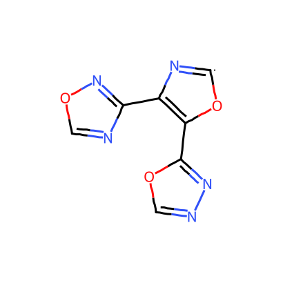 [c]1nc(-c2ncon2)c(-c2nnco2)o1